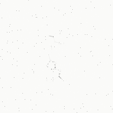 COC(=O)C(N)CSCc1csc(NC(=N)N)n1